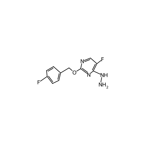 NNc1nc(OCc2ccc(F)cc2)ncc1F